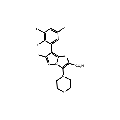 Cc1nn2c(N3CCOCC3)c(C(=O)O)sc2c1-c1cc(F)cc(F)c1F